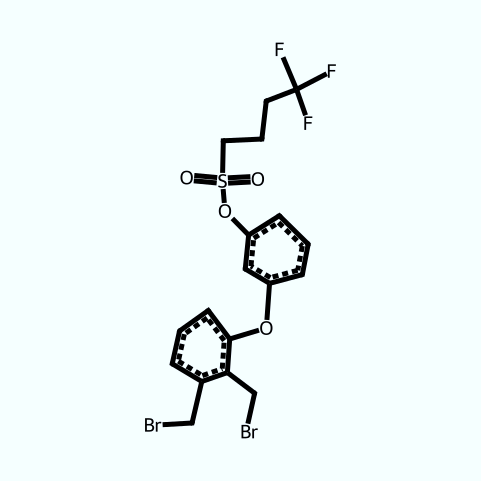 O=S(=O)(CCCC(F)(F)F)Oc1cccc(Oc2cccc(CBr)c2CBr)c1